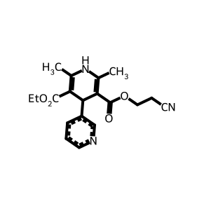 CCOC(=O)C1=C(C)NC(C)=C(C(=O)OCCC#N)C1c1cccnc1